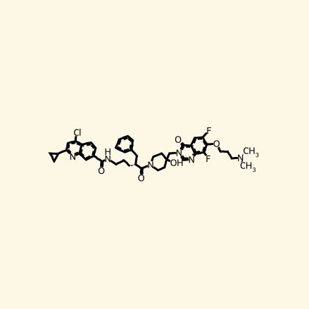 CN(C)CCCOc1c(F)cc2c(=O)n(CC3(O)CCN(C(=O)[C@H](CCCNC(=O)c4ccc5c(Cl)cc(C6CC6)nc5c4)Cc4ccccc4)CC3)cnc2c1F